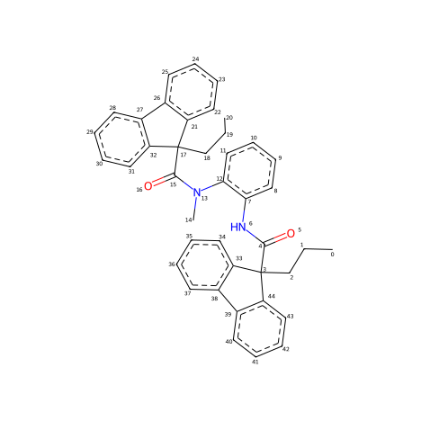 CCCC1(C(=O)Nc2ccccc2N(C)C(=O)C2(CCC)c3ccccc3-c3ccccc32)c2ccccc2-c2ccccc21